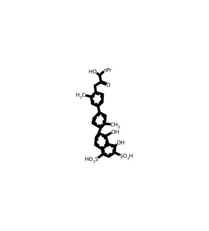 CCCC(O)C(=O)Cc1ccc(-c2ccc(-c3ccc4c(S(=O)(=O)O)cc(S(=O)(=O)O)c(O)c4c3O)c(C)c2)cc1C